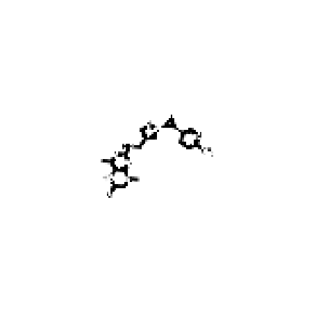 Cc1nc(NCc2cnn([C@@H]3C[C@H]3c3ccc(C(F)(F)F)nc3)c2)nc2c1NC(=O)CN2C